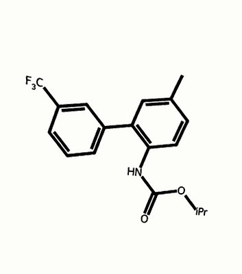 Cc1ccc(NC(=O)OC(C)C)c(-c2cccc(C(F)(F)F)c2)c1